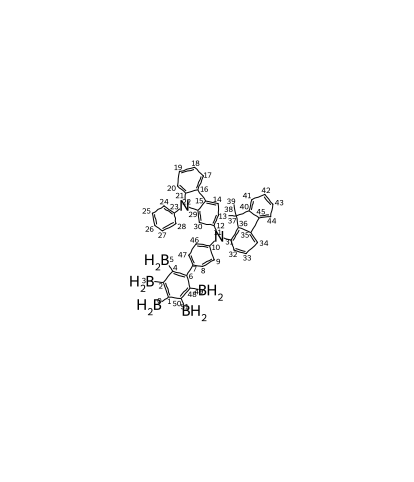 Bc1c(B)c(B)c(-c2ccc(N(c3ccc4c5ccccc5n(-c5ccccc5)c4c3)c3cccc4c3C(C)(C)c3ccccc3-4)cc2)c(B)c1B